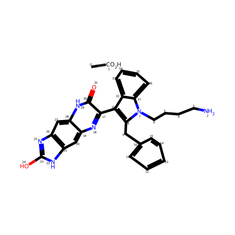 CC(=O)O.NCCCCn1c(Cc2ccccc2)c(-c2nc3cc4[nH]c(O)nc4cc3[nH]c2=O)c2ccccc21